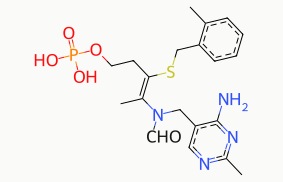 C/C(=C(\CCOP(=O)(O)O)SCc1ccccc1C)N(C=O)Cc1cnc(C)nc1N